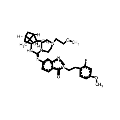 COCCN1CCN(C(=Nc2ccc3c(=O)n(CCc4ccc(OC)cc4F)cnc3c2)NC2C[C@H]3C[C@H]([C@H]2C)C3(C)C)CC1